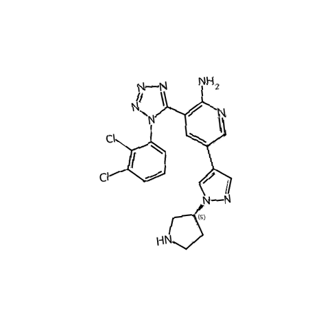 Nc1ncc(-c2cnn([C@H]3CCNC3)c2)cc1-c1nnnn1-c1cccc(Cl)c1Cl